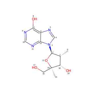 C[C@H]1[C@H](n2cnc3c(O)ncnc32)O[C@](C)(CO)[C@H]1O